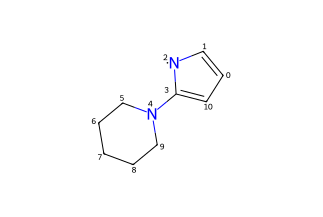 C1=C[N]C(N2CCCCC2)=C1